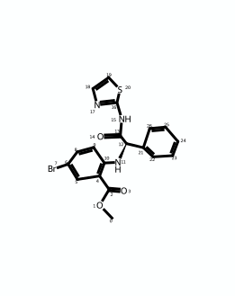 COC(=O)c1cc(Br)ccc1N[C@@H](C(=O)Nc1nccs1)c1ccccc1